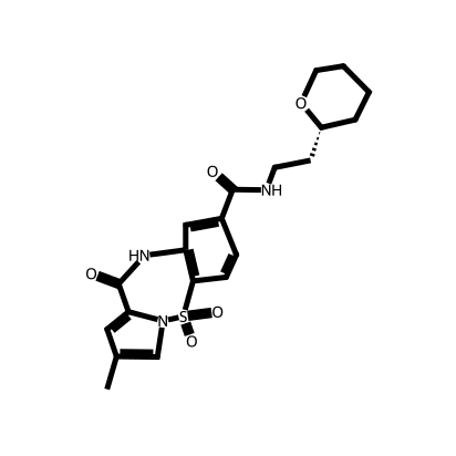 Cc1cc2n(c1)S(=O)(=O)c1ccc(C(=O)NCC[C@H]3CCCCO3)cc1NC2=O